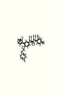 CN1CCN(CCOc2ccc(NC(=O)Nc3ccc(F)cc3F)cc2-c2ccnn2C)CC1